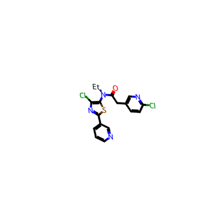 CCN(C(=O)Cc1ccc(Cl)nc1)c1sc(-c2cccnc2)nc1Cl